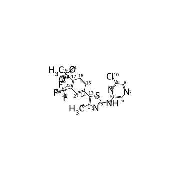 Cc1nc(Nc2cncc(Cl)n2)sc1-c1ccc(S(C)(=O)=O)c(C(F)(F)F)c1